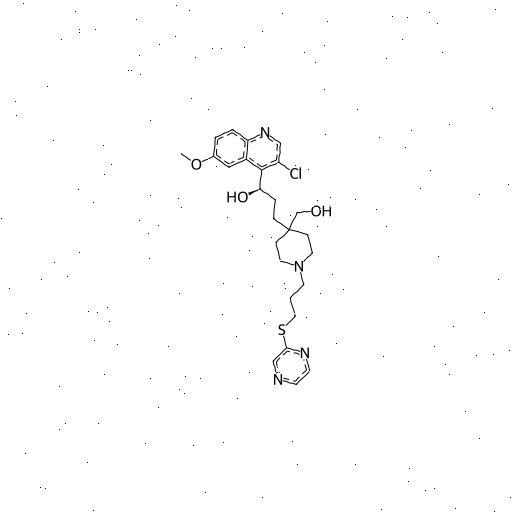 COc1ccc2ncc(Cl)c([C@H](O)CCC3(CO)CCN(CCCSc4cnccn4)CC3)c2c1